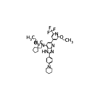 CCOCC1(CN(C)c2cc(-c3cc(OCC)nc(C(F)(F)F)c3)nc3nc(-c4ccc(N5CCCCC5)cc4)[nH]c23)CCCC1